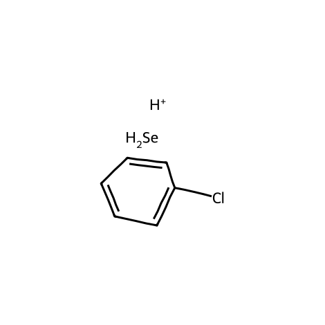 Clc1ccccc1.[H+].[SeH2]